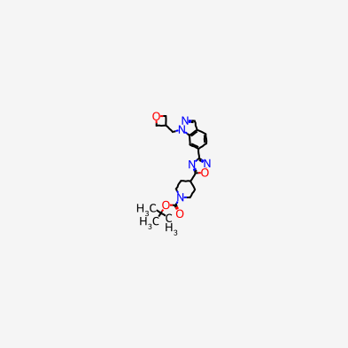 CC(C)(C)OC(=O)N1CCC(c2nc(-c3ccc4cnn(CC5COC5)c4c3)no2)CC1